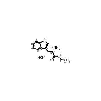 CCOC(=O)[C@@H](N)Cc1csc2ccccc12.Cl